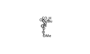 COCCOCCOc1cccc2c3n(nc12)CC(C(C)(C)C)n1cc(C(=O)O)c(=O)cc1-3